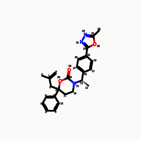 C=C(C)CC1(c2ccccc2)CCN([C@@H](C)c2ccc(-c3nnc(C)o3)cc2)C(=O)O1